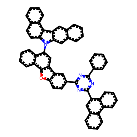 c1ccc(-c2nc(-c3ccc4oc5c6ccccc6c(-n6c7cc8ccccc8cc7c7c8ccccc8ccc76)cc5c4c3)nc(-c3cc4ccccc4c4ccccc34)n2)cc1